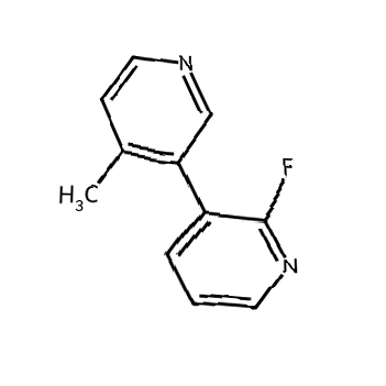 Cc1ccncc1-c1cccnc1F